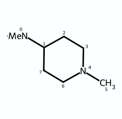 C[N]C1CCN(C)CC1